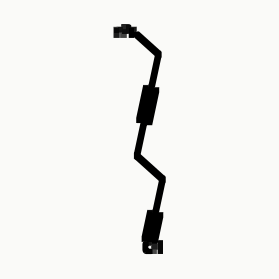 C#CCCC#CCCCC